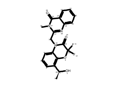 C[C@H](O)c1cccc2c1OC(F)(F)C(=O)N2Cc1nc2ccccc2c(=O)n1C